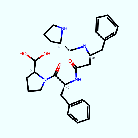 O=C(C[C@H](Cc1ccccc1)NC[C@@H]1CCCN1)N[C@@H](Cc1ccccc1)C(=O)N1CCC[C@H]1C(O)O